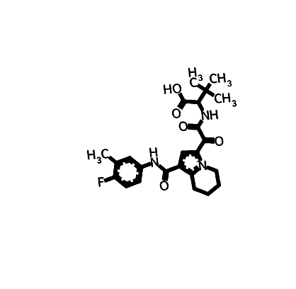 Cc1cc(NC(=O)c2cc(C(=O)C(=O)NC(C(=O)O)C(C)(C)C)n3c2CCCC3)ccc1F